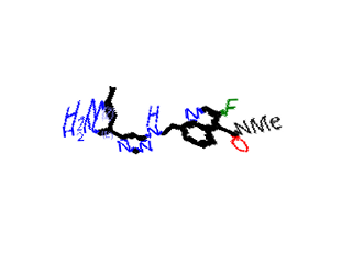 CNC(=O)c1c(F)cnc2c(CCNc3cc(C(/C=C(/C)N)=C/N)ncn3)cccc12